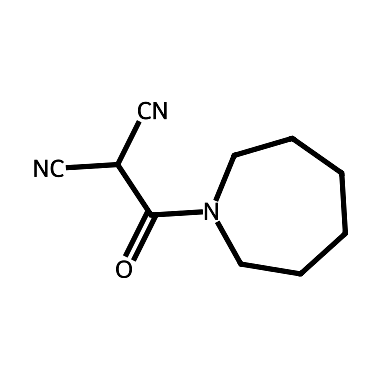 N#CC(C#N)C(=O)N1CCCCCC1